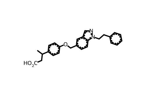 CC(CC(=O)O)c1ccc(OCc2ccc3c(cnn3CCc3ccccc3)c2)cc1